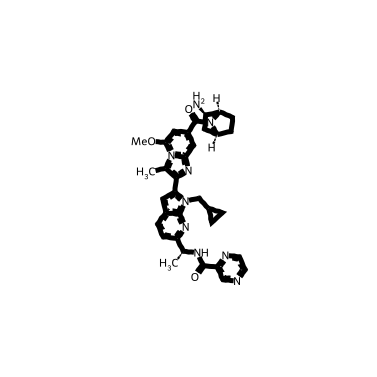 COc1cc(C(=O)N2[C@H]3CC[C@@H]2[C@H](N)C3)cc2nc(-c3cc4ccc([C@@H](C)NC(=O)c5cnccn5)nc4n3CC3CC3)c(C)n12